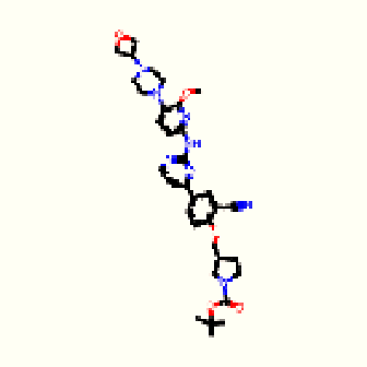 COc1nc(Nc2nccc(-c3ccc(OCC4CCN(C(=O)OC(C)(C)C)C4)c(C#N)c3)n2)ccc1N1CCN(C2COC2)CC1